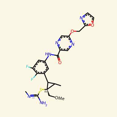 C/N=C(/N)S[C@@]1(COC)C(C)C1c1cc(NC(=O)c2cnc(OCc3ncco3)cn2)cc(F)c1F